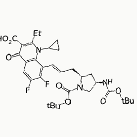 CCc1c(C(=O)O)c(=O)c2cc(F)c(F)c(C=CC[C@H]3C[C@@H](NC(=O)OC(C)(C)C)CN3C(=O)OC(C)(C)C)c2n1C1CC1